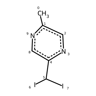 Cc1cnc(C(I)I)cn1